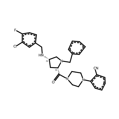 N#Cc1ccccc1N1CCN(C(=O)[C@@H]2C[C@H](NCc3ccc(F)c(Cl)c3)CN2Cc2ccccc2)CC1